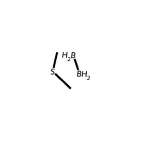 BB.CSC